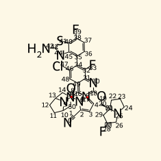 N#Cc1cccn1C(=O)N1C2CCC1CN(c1nc(OC[C@@]34CCCN3C[C@H](F)C4)nc3c(F)c(-c4ccc(F)c5sc(N)nc45)c(Cl)cc13)C2